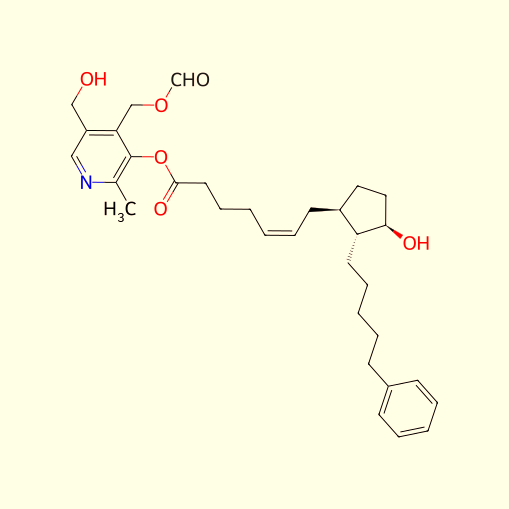 Cc1ncc(CO)c(COC=O)c1OC(=O)CCC/C=C\C[C@H]1CC[C@@H](O)[C@@H]1CCCCCc1ccccc1